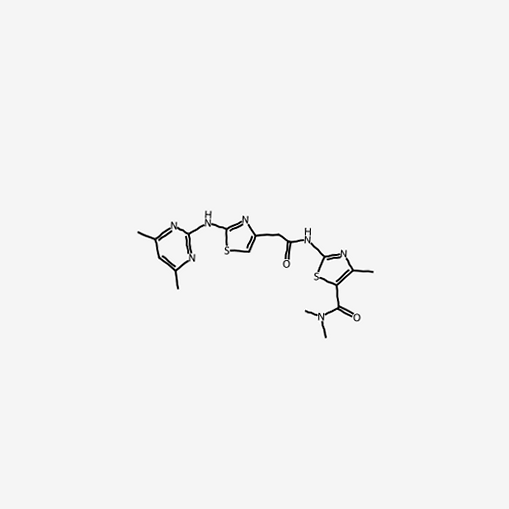 Cc1cc(C)nc(Nc2nc(CC(=O)Nc3nc(C)c(C(=O)N(C)C)s3)cs2)n1